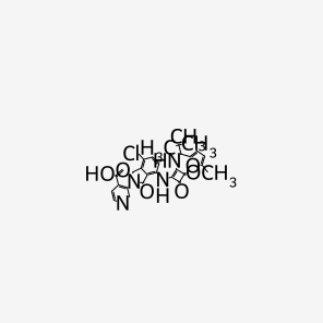 Cc1ccc([C@H](Nc2c(Nc3ccc(Cl)c4c3C(=O)N(c3cnccc3C(=O)O)C4)c(=O)c2=O)C(C)(C)C)o1